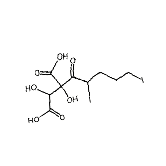 O=C(O)C(O)C(O)(C(=O)O)C(=O)C(I)CCCI